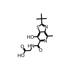 Cc1nc(C(=O)NCC(=O)O)c(O)c2sc(C(C)(C)C)nc12